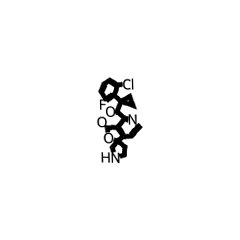 O=C1OC2(CCNC2)c2ccnc(C(=O)C3(c4c(F)cccc4Cl)CC3)c21